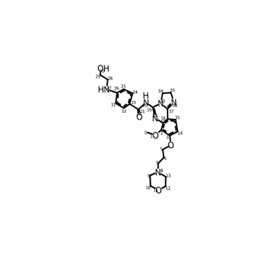 COc1c(OCCCN2CCOCC2)ccc2c1N=C(NC(=O)c1ccc(NCCO)cc1)N1CCN=C21